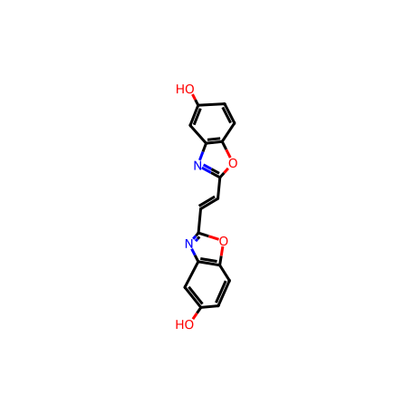 Oc1ccc2oc(C=Cc3nc4cc(O)ccc4o3)nc2c1